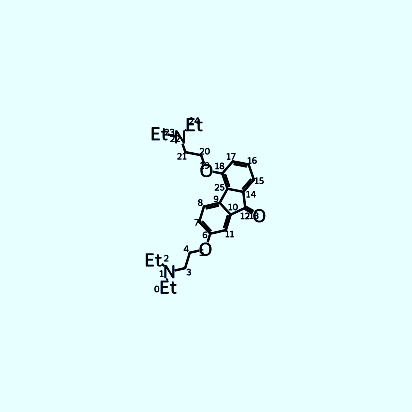 CCN(CC)CCOc1ccc2c(c1)C(=O)c1cccc(OCCN(CC)CC)c1-2